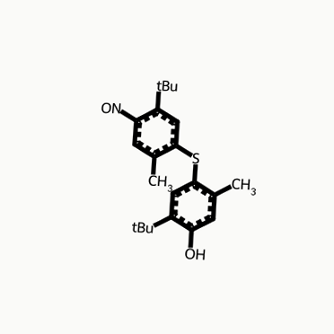 Cc1cc(O)c(C(C)(C)C)cc1Sc1cc(C(C)(C)C)c(N=O)cc1C